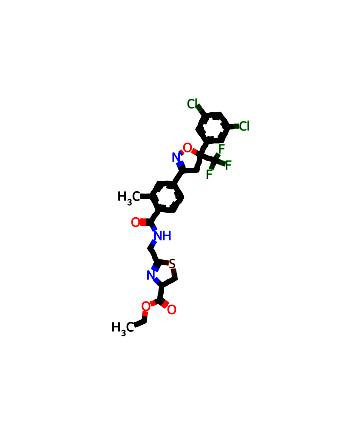 CCOC(=O)C1CSC(CNC(=O)c2ccc(C3=NOC(c4cc(Cl)cc(Cl)c4)(C(F)(F)F)C3)cc2C)=N1